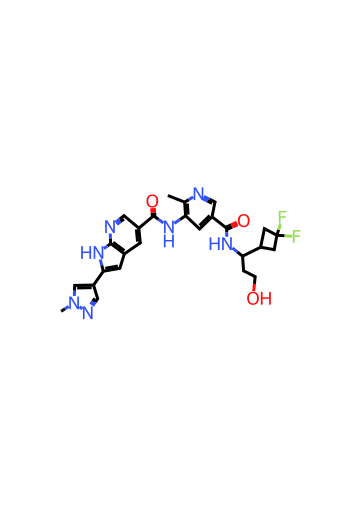 Cc1ncc(C(=O)NC(CCO)C2CC(F)(F)C2)cc1NC(=O)c1cnc2[nH]c(-c3cnn(C)c3)cc2c1